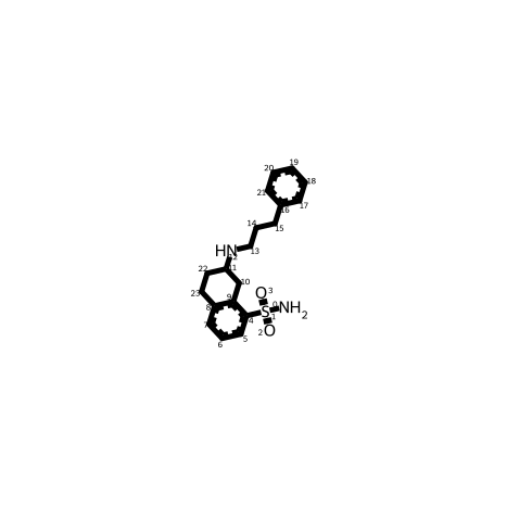 NS(=O)(=O)c1cccc2c1CC(NCCCc1ccccc1)CC2